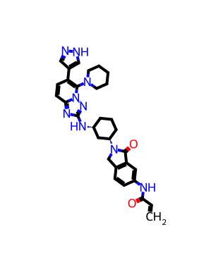 C=CC(=O)Nc1ccc2c(c1)C(=O)N([C@H]1CCC[C@@H](Nc3nc4ccc(-c5cn[nH]c5)c(N5CCCCC5)n4n3)C1)C2